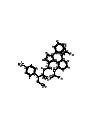 COC(c1ncc(C)cn1)C(C)SNc1nnc(-c2cccnc2)n1-c1c(OC(F)F)cccc1OC(F)F